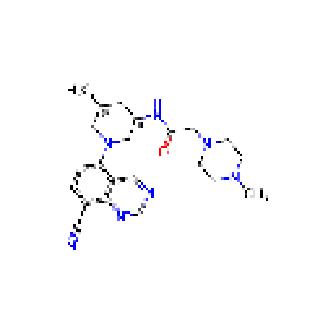 C[C@H]1C[C@@H](NC(=O)CN2CCN(C)CC2)CN(c2ccc(C#N)c3ncncc23)C1